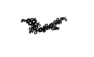 CC(C)COc1cc(C(=O)NS(=O)(=O)c2ccc(C(=O)C(=O)[C@@H](NNC[C@@]3(C)CCC[C@]4(C)c5ccc(C(C)C)cc5CC[C@@H]34)C(C)C)cc2)cnc1OC(=O)NC(=O)CN